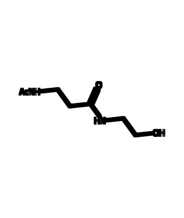 CC(=O)NCCC(=O)NCCO